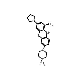 CN1CCN(c2ccc3c(c2)Sc2cc(N4CCCC4)cc(C(F)(F)F)c2N3)CC1